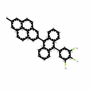 Cc1cc2ccc3cc(-c4c5ccccc5c(-c5cc(F)c(F)c(F)c5)c5ccccc45)cc4ccc(c1)c2c34